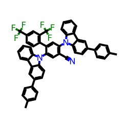 Cc1ccc(-c2ccc3c(c2)c2ccccc2n3-c2cc(-c3ccc(C(F)(F)F)cc3C(F)(F)F)c(-n3c4ccccc4c4cc(-c5ccc(C)cc5)ccc43)cc2C#N)cc1